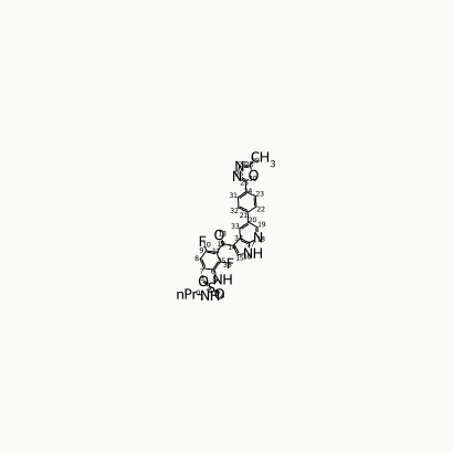 CCCNS(=O)(=O)Nc1ccc(F)c(C(=O)c2c[nH]c3ncc(-c4ccc(-c5nnc(C)o5)cc4)cc23)c1F